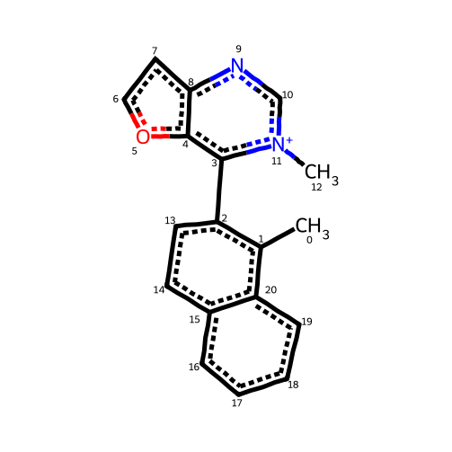 Cc1c(-c2c3occc3nc[n+]2C)ccc2ccccc12